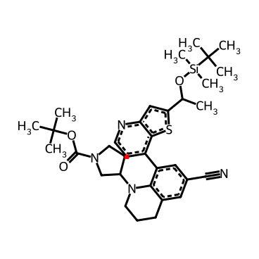 CC(O[Si](C)(C)C(C)(C)C)c1cc2nccc(-c3cc(C#N)cc4c3N(C3CCN(C(=O)OC(C)(C)C)C3)CCC4)c2s1